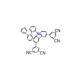 N#Cc1cc(C#N)cc(-c2ccc3c(c2)c2cc(-c4cc(C#N)cc(C#N)c4)ccc2n3-c2ccccc2-c2ccccc2-c2ccccc2)c1